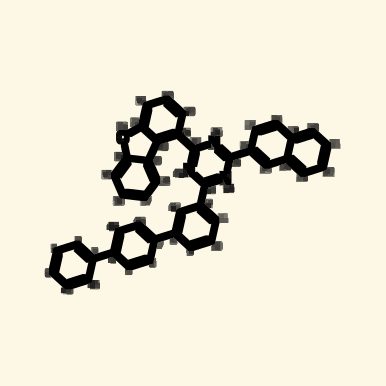 c1ccc(-c2ccc(-c3cccc(-c4nc(-c5ccc6ccccc6c5)nc(-c5cccc6oc7ccccc7c56)n4)c3)cc2)cc1